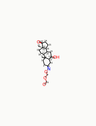 C[C@]12CCC(=NOCOC=O)CC1[C@H](O)CC1C2CC[C@]2(C)C(=O)CCC12